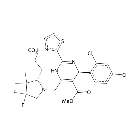 COC(=O)C1=C(CN2CC(F)(F)C(C)(C)[C@@H]2CCC(=O)O)NC(c2nccs2)=N[C@H]1c1ccc(Cl)cc1Cl